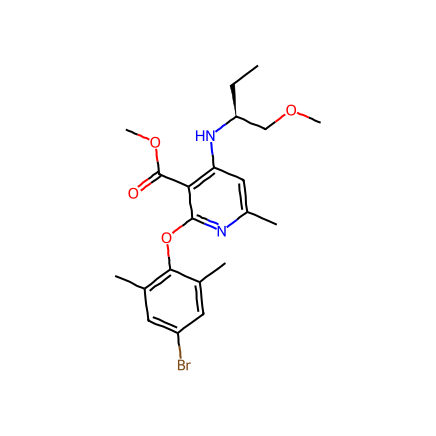 CC[C@@H](COC)Nc1cc(C)nc(Oc2c(C)cc(Br)cc2C)c1C(=O)OC